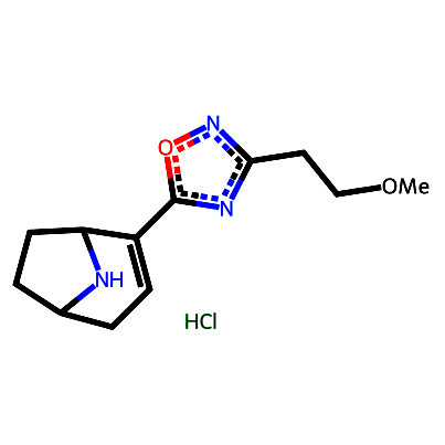 COCCc1noc(C2=CCC3CCC2N3)n1.Cl